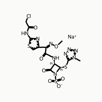 CON=C(C(=O)N[C@@H]1C(=O)N(S(=O)(=O)[O-])[C@@H]1Sc1nnnn1C)c1csc(NC(=O)CCl)n1.[Na+]